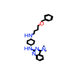 CN(C)c1nc(N[C@H]2CC[C@@H](NCCCCOCc3ccccc3)CC2)nc2ccccc12